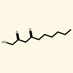 CCCCCCC(=O)CC(=O)CO